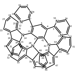 c1cnc(-c2cc(-c3ncccn3)c(-n3c4ccccc4c4ccccc43)c(-n3c4ccccc4c4ccccc43)c2-n2c3ccccc3c3ccccc32)nc1